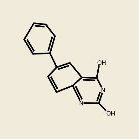 Oc1nc(O)c2cc(-c3ccccc3)ccc2n1